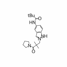 CC(C)(C)C(=O)Nc1ccc2[nH][n+](CC(C)(C)C(=O)N3CCCC3)cc2c1